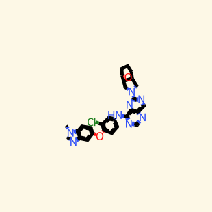 Cn1cnc2cc(Oc3ccc(Nc4ncnc5cnc(N6CC7C8CCC(O8)C7C6)nc45)cc3Cl)ccc21